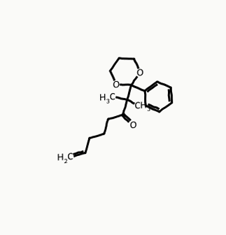 C=CCCCC(=O)C(C)(C)C1(c2ccccc2)OCCCO1